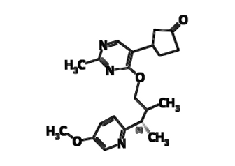 COc1ccc([C@@H](C)C(C)COc2nc(C)ncc2C2CCC(=O)C2)nc1